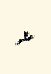 CN(/C=C(/COC(CCOCc1cn(CC(O)CO)nn1)COCc1cn(CC(O)CO)nn1)N=N)CC(O)CO